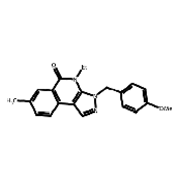 CCn1c(=O)c2cc(C)ccc2c2cnn(Cc3ccc(OC)cc3)c21